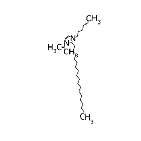 CCCCCCCCCCCCCCCCCCC1N(CCCCCC)C=CN1C(C)C